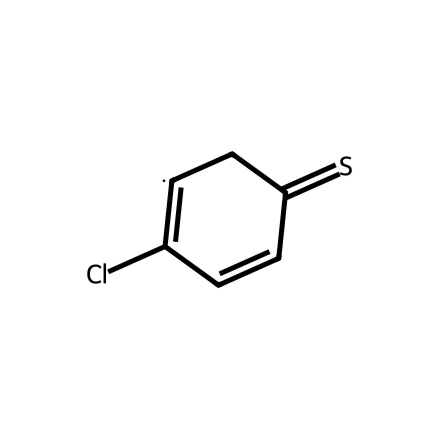 S=C1C=CC(Cl)=[C]C1